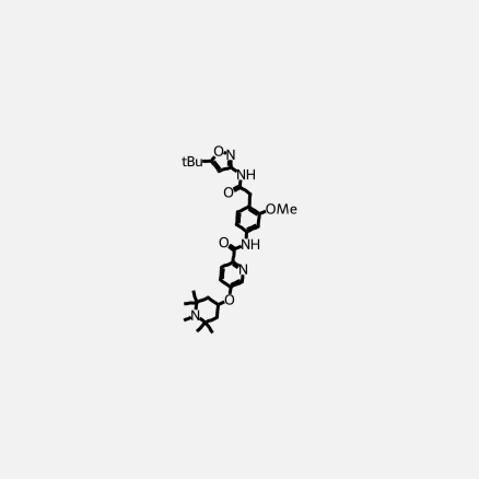 COc1cc(NC(=O)c2ccc(OC3CC(C)(C)N(C)C(C)(C)C3)cn2)ccc1CC(=O)Nc1cc(C(C)(C)C)on1